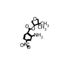 CC1(C)COCC1OC(=O)c1ccc([N+](=O)[O-])cc1N